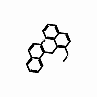 COc1ccc2ccccc2c1Cc1c(O)ccc2ccccc12